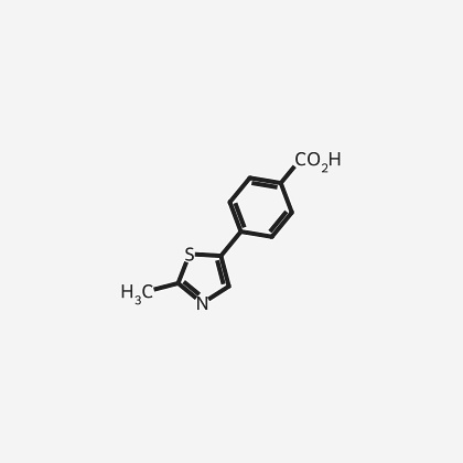 Cc1ncc(-c2ccc(C(=O)O)cc2)s1